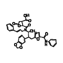 CC(C(Cc1ccc(C(=O)Nc2ccccc2)o1)c1ccc2c(c1)OCO2)N(CC=Cc1ccccc1)C(=O)C1OC(=O)CC1C(=O)O